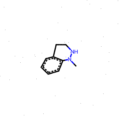 CN1NCCc2ccccc21